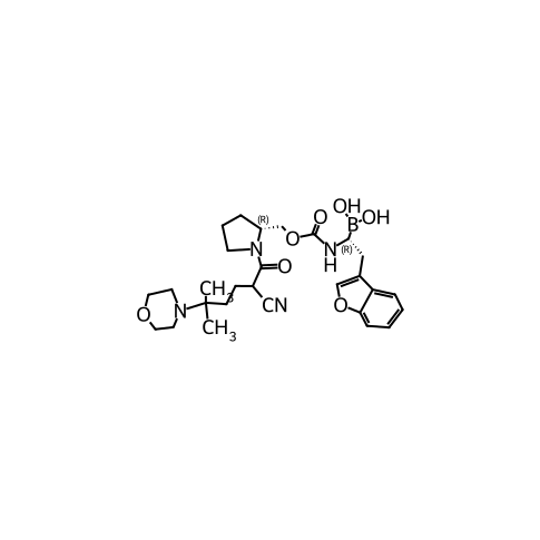 CC(C)(CCC(C#N)C(=O)N1CCC[C@@H]1COC(=O)N[C@@H](Cc1coc2ccccc12)B(O)O)N1CCOCC1